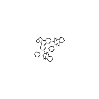 c1ccc(-c2nc3ccccc3nc2-c2ccc3c(c2)c2cc(-c4nc5ccccc5nc4-c4ccccc4)ccc2c2occc32)cc1